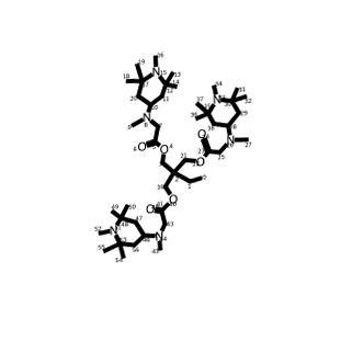 CCC(COC(=O)CN(C)C1CC(C)(C)N(C)C(C)(C)C1)(COC(=O)CN(C)C1CC(C)(C)N(C)C(C)(C)C1)COC(=O)CN(C)C1CC(C)(C)N(C)C(C)(C)C1